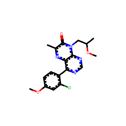 COc1ccc(-c2ncnc3c2nc(C)c(=O)n3CC(C)OC)c(Cl)c1